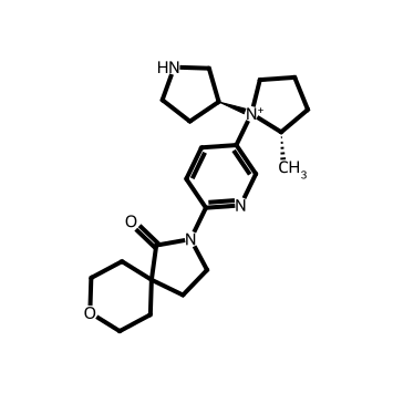 C[C@H]1CCC[N+]1(c1ccc(N2CCC3(CCOCC3)C2=O)nc1)[C@H]1CCNC1